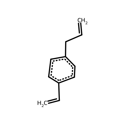 C=CCc1ccc(C=C)cc1